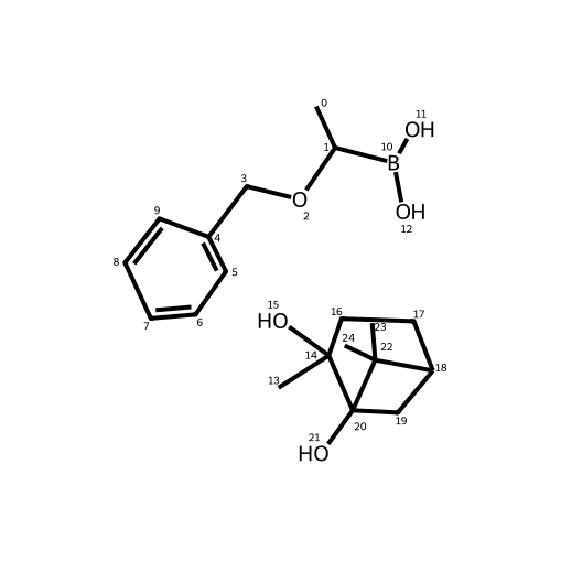 CC(OCc1ccccc1)B(O)O.CC1(O)CCC2CC1(O)C2(C)C